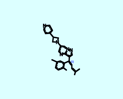 CC(C)=C/C=C(\c1cc(C)ccc1C)c1cnn2cc(N3CC(c4ccncc4)C3)cnc12